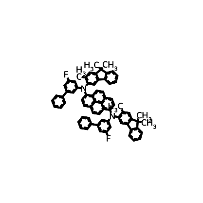 Cc1cc2c(cc1N(c1cc(F)cc(-c3ccccc3)c1)c1ccc3ccc4c(N(c5cc(F)cc(-c6ccccc6)c5)c5cc6c(cc5C)C(C)(C)c5ccccc5-6)ccc5ccc1c3c54)-c1ccccc1C2(C)C